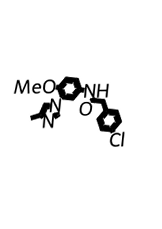 COc1ccc(NC(=O)Cc2ccc(Cl)cc2)cc1-n1cnc(C)c1